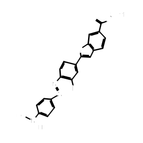 CCCCCCCOC(=O)c1ccc2cc(-c3ccc(/N=N/c4ccc(N(C)C)cc4)c(F)c3)sc2c1